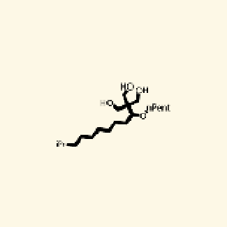 CCCCCOC(CCCCCCCC(C)C)C(CO)(CO)CO